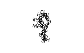 CNC(=O)COc1cc2cc(Nc3nc(N4CCC(OC5CC(N6CCN(c7ccc8c(c7F)[C@@H](C)N([C@@H]7CCC(=O)NC7=O)C8=O)[C@H](C)C6)C5)CC4)ncc3Cl)ccc2n(C(C)C)c1=O